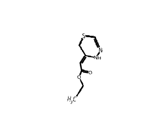 CCOC(=O)/C=C1/CSC=NN1